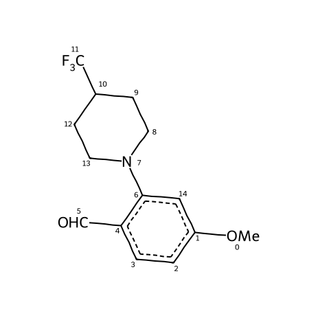 COc1ccc(C=O)c(N2CCC(C(F)(F)F)CC2)c1